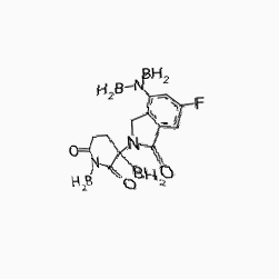 BN1C(=O)CCC(B)(N2Cc3c(cc(F)cc3N(B)B)C2=O)C1=O